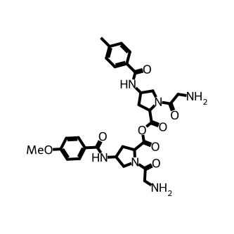 COc1ccc(C(=O)NC2CC(C(=O)OC(=O)C3CC(NC(=O)c4ccc(C)cc4)CN3C(=O)CN)N(C(=O)CN)C2)cc1